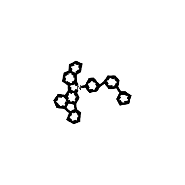 c1ccc(-c2cccc(-c3ccc(-n4c5cc6c7c(cccc7c5c5ccc7ccccc7c54)-c4ccccc4-6)cc3)c2)cc1